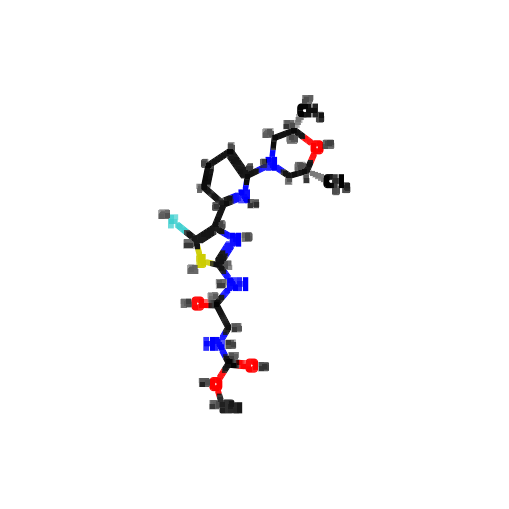 C[C@@H]1CN(c2cccc(-c3nc(NC(=O)CNC(=O)OC(C)(C)C)sc3F)n2)C[C@H](C)O1